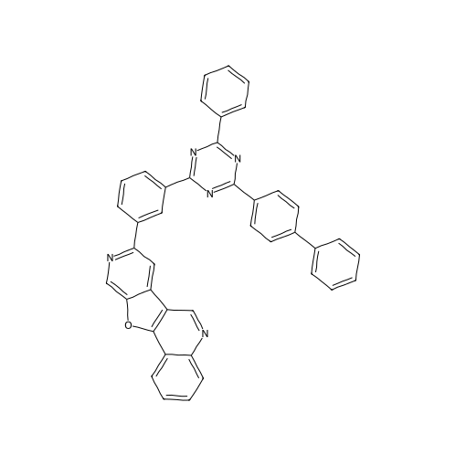 c1ccc(-c2ccc(-c3nc(-c4ccccc4)nc(-c4cccc(-c5cc6c(cn5)oc5c7ccccc7ncc65)c4)n3)cc2)cc1